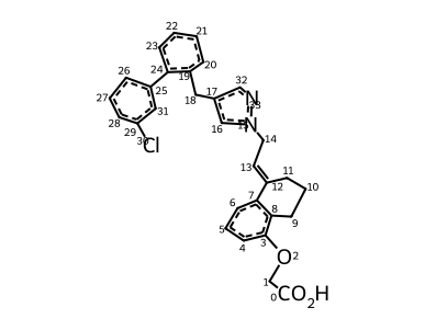 O=C(O)COc1cccc2c1CCCC2=CCn1cc(Cc2ccccc2-c2cccc(Cl)c2)cn1